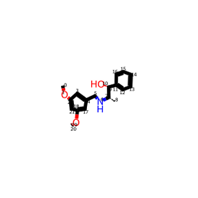 COc1cc(CN[C@@H](C)[C@H](O)c2ccccc2)cc(OC)c1